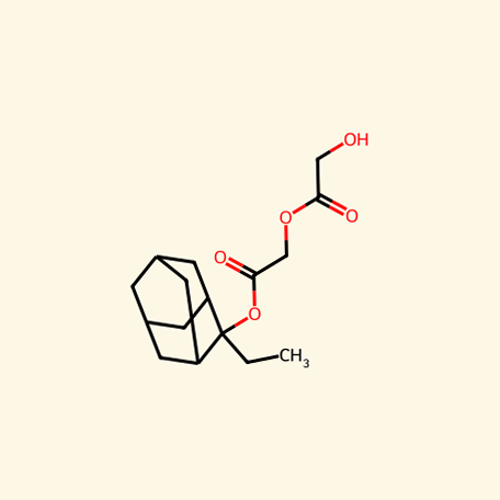 CCC1(OC(=O)COC(=O)CO)C2CC3CC(C2)CC1C3